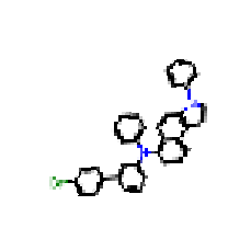 Brc1ccc(-c2cccc(N(c3ccccc3)c3cccc4c3ccc3c4ccn3-c3ccccc3)c2)cc1